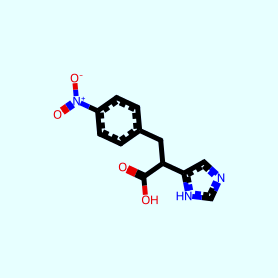 O=C(O)C(Cc1ccc([N+](=O)[O-])cc1)c1cnc[nH]1